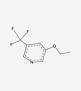 CCOc1[c]ncc(C(F)(F)F)c1